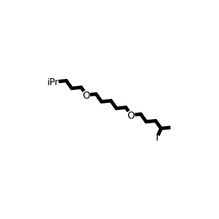 CC(C)CCCOCCCCCOCCCC(C)I